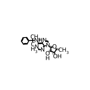 C[C@H]1O[C@@H](n2cnc3c(NC(C)(C)c4ccccc4)ncnc32)[C@H](O)[C@@H]1O